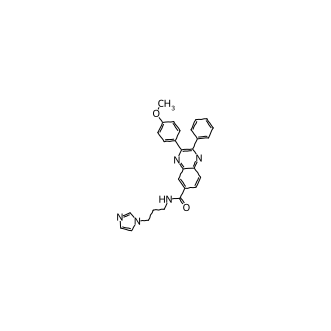 COc1ccc(-c2nc3cc(C(=O)NCCCn4ccnc4)ccc3nc2-c2ccccc2)cc1